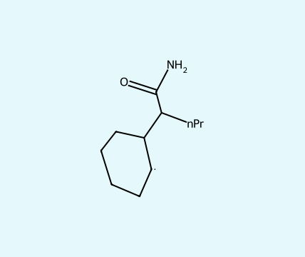 CCCC(C(N)=O)C1[CH]CCCC1